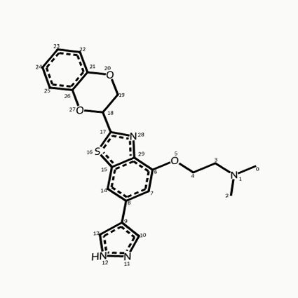 CN(C)CCOc1cc(-c2cn[nH]c2)cc2sc(C3COc4ccccc4O3)nc12